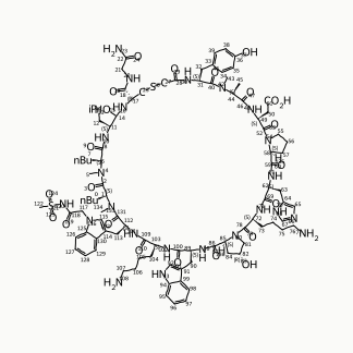 CCCC[C@H]1C(=O)N(C)[C@@H](CCCC)C(=O)N[C@@H](CC(C)C)C(O)N[C@H](C(=O)NCC(N)=O)CSCC(=O)N[C@@H](Cc2ccc(O)cc2)C(=O)N(C)[C@@H](C)C(=O)N[C@@H](CC(=O)O)C(=O)N2CCC[C@H]2C(=O)N[C@@H](Cc2cnc[nH]2)C(=O)N[C@@H](CCCCN)C(=O)N2C[C@H](O)C[C@H]2C(=O)N[C@@H](Cc2c[nH]c3ccccc23)C(=O)N[C@@H](CCCCN)C(=O)N[C@@H](Cc2cn(CC(=O)NS(C)(=O)=O)c3ccccc23)C(=O)N1C